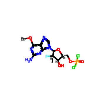 CCOc1nc(N)nc2c1ncn2C1O[C@H](COP(=O)(Cl)Cl)[C@@H](O)[C@@]1(C)F